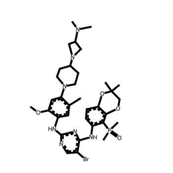 COc1cc(N2CCC(N3CC(N(C)C)C3)CC2)c(C)cc1Nc1ncc(Br)c(Nc2ccc3c(c2P(C)(C)=O)OCC(C)(C)O3)n1